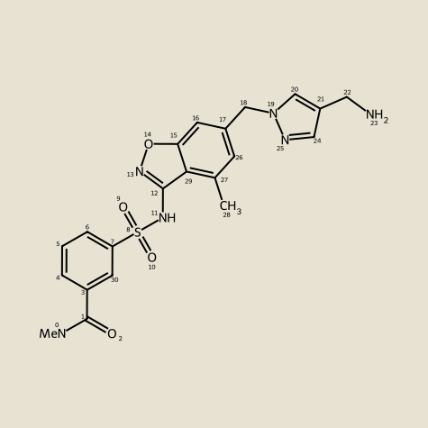 CNC(=O)c1cccc(S(=O)(=O)Nc2noc3cc(Cn4cc(CN)cn4)cc(C)c23)c1